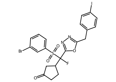 O=C1CCC(C(F)(c2nnc(Cc3ccc(I)cc3)o2)S(=O)(=O)c2cccc(Br)c2)C1